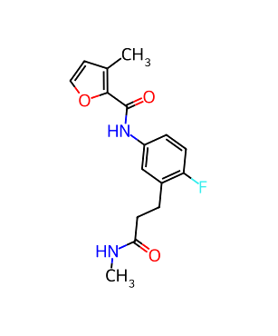 CNC(=O)CCc1cc(NC(=O)c2occc2C)ccc1F